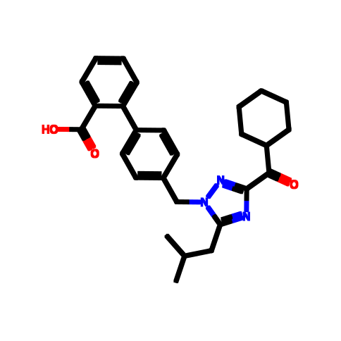 CC(C)Cc1nc(C(=O)C2CCCCC2)nn1Cc1ccc(-c2ccccc2C(=O)O)cc1